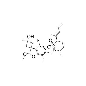 C=C/C=C(\C)[C@H]1CC[C@H](C)N(Cc2cc(F)c([C@]3(C(=O)OC)C[C@](C)(O)C3)cc2I)S1(=O)=O